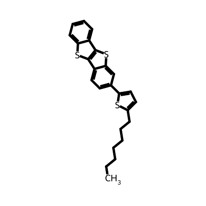 CCCCCCCc1ccc(-c2ccc3c(c2)sc2c4ccccc4sc32)s1